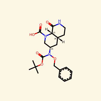 CC(C)(C)OC(=O)N(OCc1ccccc1)[C@@H]1C[C@H]2CCNC(=O)[C@H]2N(C(=O)O)C1